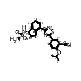 CC(C)Oc1ccc(-c2nc(-c3cccc4c3CC[C@@H]4NS(N)(=O)=O)ns2)cc1C#N